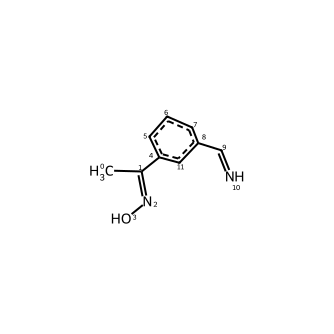 CC(=NO)c1cccc(C=N)c1